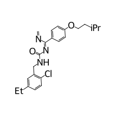 C=N/C(=N\C(=O)NCc1cc(CC)ccc1Cl)c1ccc(OCCC(C)C)cc1